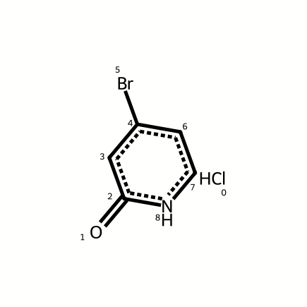 Cl.O=c1cc(Br)cc[nH]1